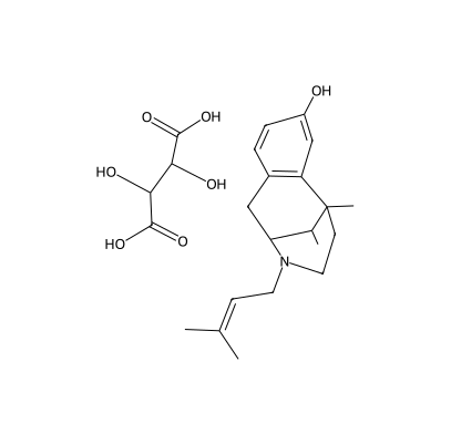 CC(C)=CCN1CCC2(C)c3cc(O)ccc3CC1C2C.O=C(O)C(O)C(O)C(=O)O